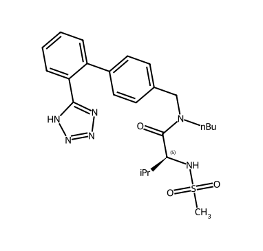 CCCCN(Cc1ccc(-c2ccccc2-c2nnn[nH]2)cc1)C(=O)[C@@H](NS(C)(=O)=O)C(C)C